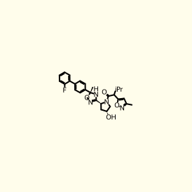 Cc1cc(C(C(=O)N2C[C@H](O)C[C@H]2C2=NO[C@](C)(c3ccc(-c4ccccc4F)cc3)N2)C(C)C)on1